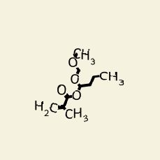 C=C(C)C(=O)OC(CCC)OCOC